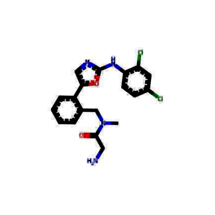 CN(Cc1ccccc1-c1cnc(Nc2ccc(Cl)cc2Cl)o1)C(=O)CN